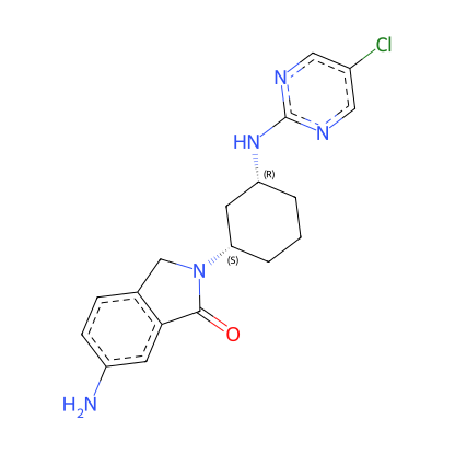 Nc1ccc2c(c1)C(=O)N([C@H]1CCC[C@@H](Nc3ncc(Cl)cn3)C1)C2